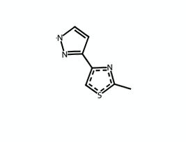 Cc1nc(C2=N[N]C=C2)cs1